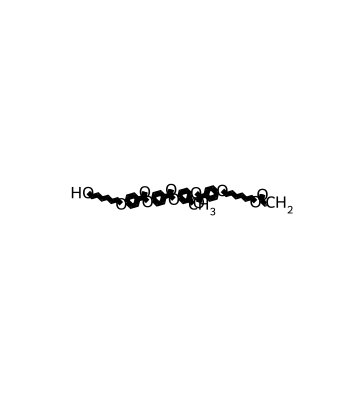 C=CC(=O)OCCCCCCOc1ccc(C(=O)Oc2ccc(OC(=O)c3ccc(OC(=O)c4ccc(OCCCCCCO)cc4)cc3)cc2C)cc1